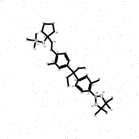 CCC(CC)(c1ccc(CCC2(O[Si](C)(C)C)CCCC2)c(C)c1)c1ccc(B2OC(C)(C)C(C)(C)O2)c(C)c1